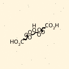 O=C(O)/C=C/C(=O)OC(=O)CC(O)C(=O)OC(=O)/C=C/C(=O)O